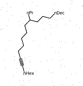 [CH2]CCCCCC#CCCCCCC(CCC)CCCCCCCCCCCC[CH2]